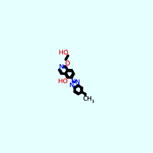 CCc1ccc2nn(-c3ccc4c(OCCO)nccc4c3O)nc2c1